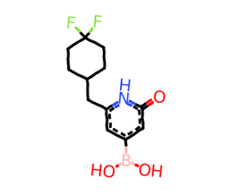 O=c1cc(B(O)O)cc(CC2CCC(F)(F)CC2)[nH]1